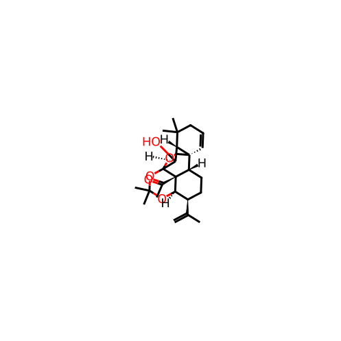 C=C(C)[C@@H]1CC[C@H]2[C@]34C=CCC(C)(C)[C@H]3[C@H](O)C3(OC4)OC(C)(C)O[C@H]1[C@@]23C(C)=O